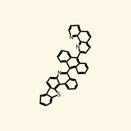 c1cnc2c(c1)ccc1ccc(-c3c4ccccc4c(-c4nc5ccc6c7ccccc7sc6c5c5ccccc45)c4ccccc34)nc12